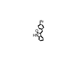 CC(C)c1ccc(/C=C2\C(=O)Nc3ccccc32)cc1